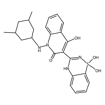 CC1CC(C)CC(Nn2c(=O)c(C3=NS(O)(O)c4ccccc4N3)c(O)c3ccccc32)C1